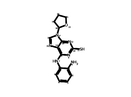 Nc1ccccc1Nc1nc(S)nc2c1ncn2C1CCCO1